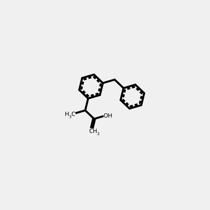 C=C(O)C(C)c1cccc(Cc2ccccc2)c1